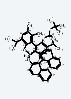 Cc1cc(C(C)C)c(OC(=O)OC(C)(C)C)c(-c2c(C)c(C)cc(C(C)C)c2Op2oc3ccc4ccccc4c3c3c(ccc4ccccc43)o2)c1C